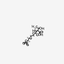 CC(O)C(NC(=O)OCCOCCO[N+](=O)[O-])C(=O)O